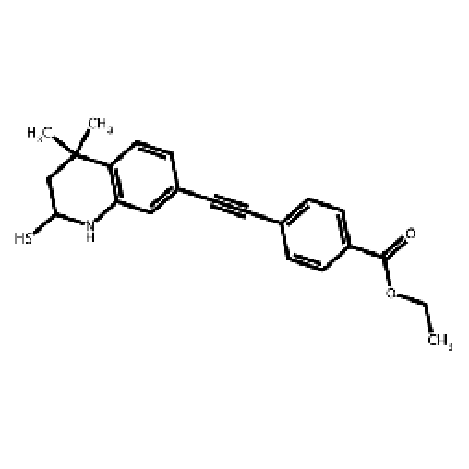 CCOC(=O)c1ccc(C#Cc2ccc3c(c2)NC(S)CC3(C)C)cc1